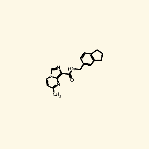 Cc1ccn2cnc(C(=O)NCc3ccc4c(c3)CCC4)c2n1